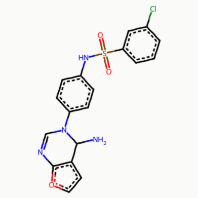 NC1c2ccoc2N=CN1c1ccc(NS(=O)(=O)c2cccc(Cl)c2)cc1